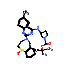 Cc1ccc2nc(N3CC[S+]([O-])c4ccccc4C3)nc(NC3CCN(C(=O)OC(C)(C)C)C3)c2c1